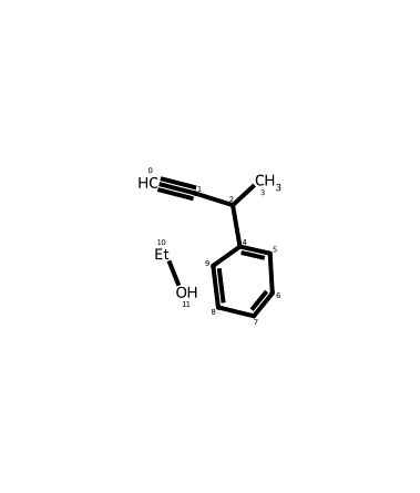 C#CC(C)c1ccccc1.CCO